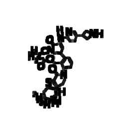 [2H]C1([2H])Cc2sc3c(c2C([2H])([2H])C1([2H])[2H])CCN(c1cccc(-c2cc(Nc4ccc(C5CNC5)cn4)c(=O)n(C)c2)c1COC(C)=O)C3=O